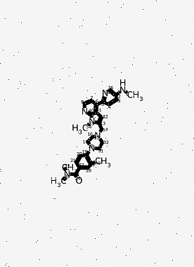 CNc1ccc(-c2ccnc3c2cc(CN2CCN(c4ccc(C(=O)N(C)C)cc4C)CC2)n3C)nc1